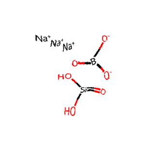 O=[Si](O)O.[Na+].[Na+].[Na+].[O-]B([O-])[O-]